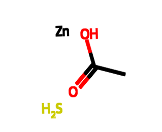 CC(=O)O.S.[Zn]